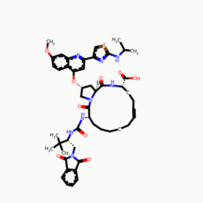 COc1ccc2c(O[C@@H]3C[C@H]4C(=O)N[C@H](C(=O)O)CC/C=C\CCCCC[C@H](NC(=O)N[C@H](CN5C(=O)c6ccccc6C5=O)C(C)(C)C)C(=O)N4C3)cc(-c3csc(NC(C)C)n3)nc2c1